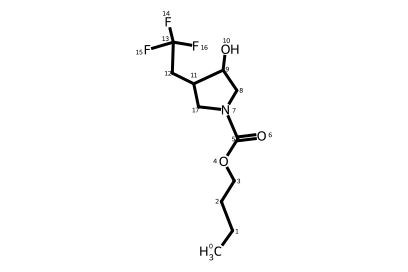 CCCCOC(=O)N1CC(O)C(CC(F)(F)F)C1